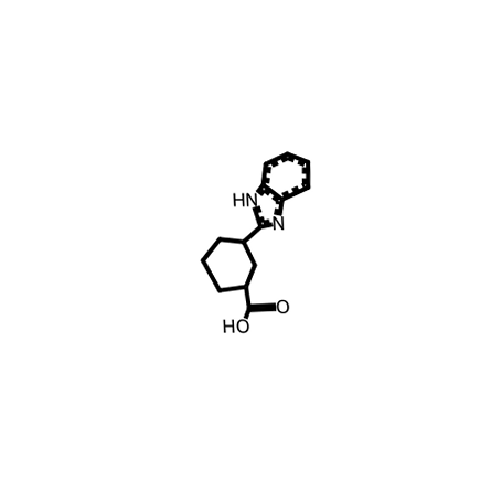 O=C(O)C1CCCC(c2nc3ccccc3[nH]2)C1